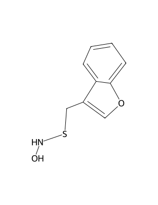 ONSCc1coc2ccccc12